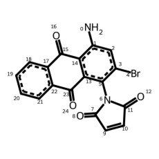 Nc1cc(Br)c(N2C(=O)C=CC2=O)c2c1C(=O)c1ccccc1C2=O